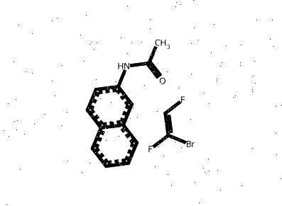 CC(=O)Nc1ccc2ccccc2c1.FC=C(F)Br